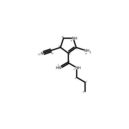 CCCNC(=N)C1=C(N)NCC1C#N